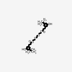 CC(C)(C)c1cc(O)cc(CCC(=O)OCCOCCOCCOC(=O)CCc2cc(O)cc(C(C)(C)C)c2)c1